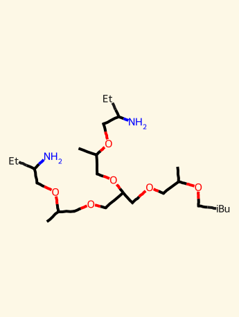 CCC(C)COC(C)COCC(COCC(C)OCC(N)CC)OCC(C)OCC(N)CC